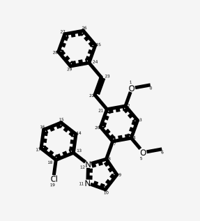 COc1cc(OC)c(-c2ccnn2-c2ccccc2Cl)cc1C=Cc1ccccc1